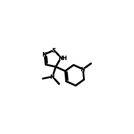 CN1CCC=C(C2(N(C)C)C=NSN2)C1